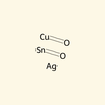 [Ag].[O]=[Cu].[O]=[Sn]